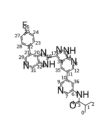 CC(C)C(=O)Nc1cncc(-c2cnc3[nH]nc(-c4nc5c(-c6ccc(F)cc6)cncc5[nH]4)c3c2)c1